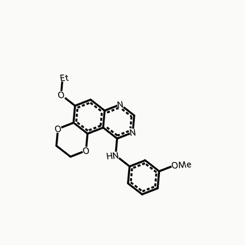 CCOc1cc2ncnc(Nc3cccc(OC)c3)c2c2c1OCCO2